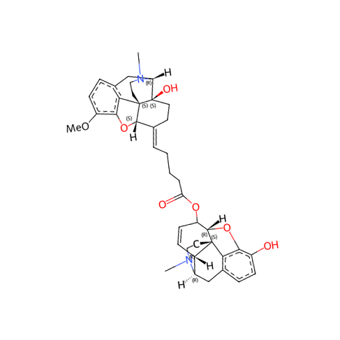 COc1ccc2c3c1O[C@H]1C(=CCCCC(=O)OC4C=C[C@H]5[C@H]6Cc7ccc(O)c8c7[C@@]5(CCN6C)[C@H]4O8)CC[C@@]4(O)[C@@H](C2)N(C)CC[C@]314